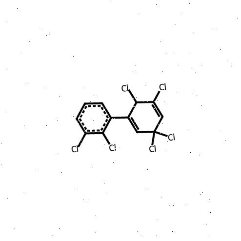 ClC1=CC(Cl)(Cl)C=C(c2cccc(Cl)c2Cl)C1Cl